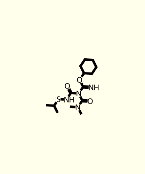 CC(C)SNC(=O)N(C(=N)OC1CCCCC1)C(=O)N(C)C